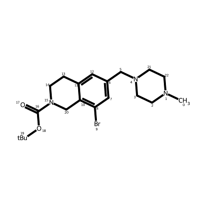 CN1CCN(Cc2cc(Br)c3c(c2)CCN(C(=O)OC(C)(C)C)C3)CC1